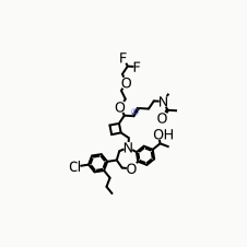 CCCc1cc(Cl)ccc1C1COc2ccc(C(C)O)cc2N(CC2CCC2C(/C=C/CCN(C)C(C)=O)OCCOCC(F)F)C1